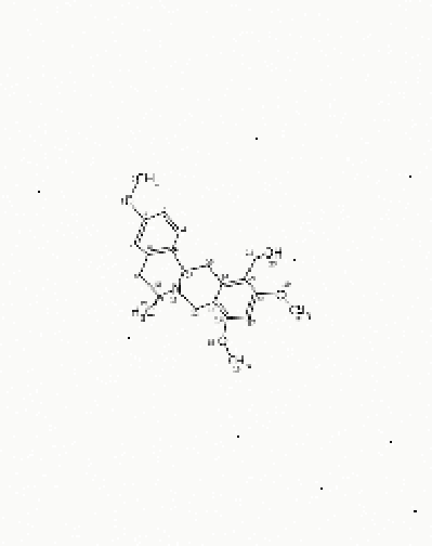 COc1ccc2c(c1)C[C@H](C)N1Cc3c(OC)cc(OC)c(CO)c3CC21